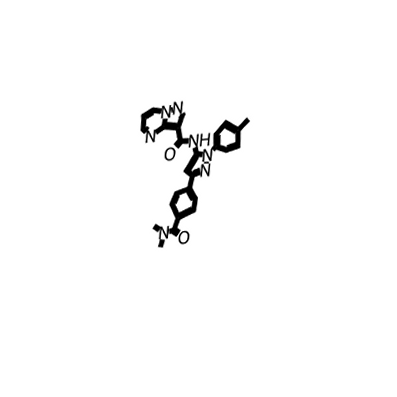 Cc1ccc(-n2nc(-c3ccc(C(=O)N(C)C)cc3)cc2NC(=O)c2cnn3cccnc23)cc1